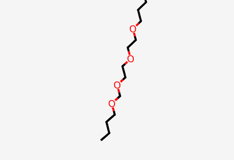 CCCCOCCOCCOCOCCCC